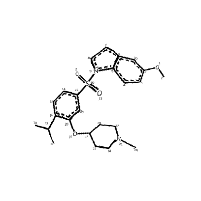 COc1ccc2c(ccn2S(=O)(=O)c2ccc(C(C)C)c(OC3CCN(C)CC3)c2)c1